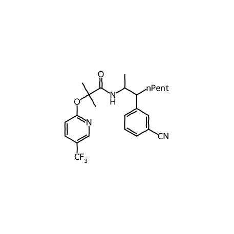 CCCCCC(c1cccc(C#N)c1)C(C)NC(=O)C(C)(C)Oc1ccc(C(F)(F)F)cn1